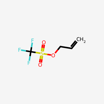 C=CCOS(=O)(=O)C(F)(F)F